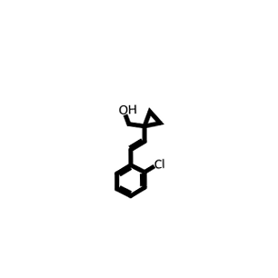 OCC1(C=Cc2ccccc2Cl)CC1